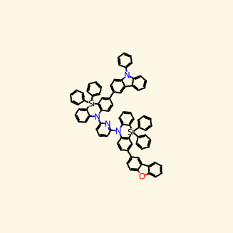 c1ccc(-n2c3ccccc3c3cc(-c4ccc5c(c4)[Si](c4ccccc4)(c4ccccc4)c4ccccc4N5c4cccc(N5c6ccccc6[Si](c6ccccc6)(c6ccccc6)c6cc(-c7ccc8oc9ccccc9c8c7)ccc65)n4)ccc32)cc1